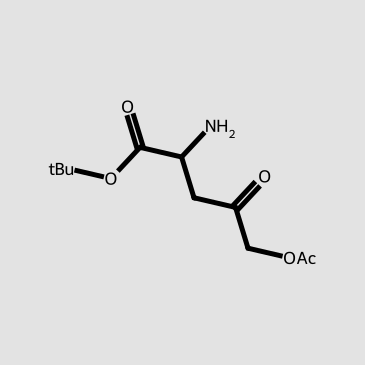 CC(=O)OCC(=O)CC(N)C(=O)OC(C)(C)C